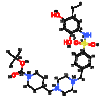 CCc1cc(NS(=O)(=O)c2ccc(CN3CCN(CC4CCN(C(=O)OC(C)(C)C)CC4)CC3)cc2)c(O)cc1O